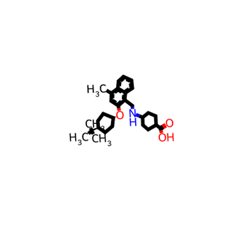 Cc1cc(O[C@H]2CC[C@H](C(C)(C)C)CC2)c(CNC2CCC(C(=O)O)CC2)c2ccccc12